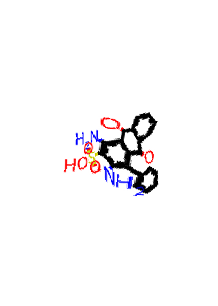 Nc1c2c(c(-c3ccccc3)c(N)c1S(=O)(=O)O)C(=O)c1ccccc1C2=O